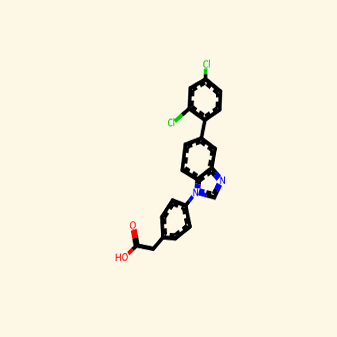 O=C(O)Cc1ccc(-n2cnc3cc(-c4ccc(Cl)cc4Cl)ccc32)cc1